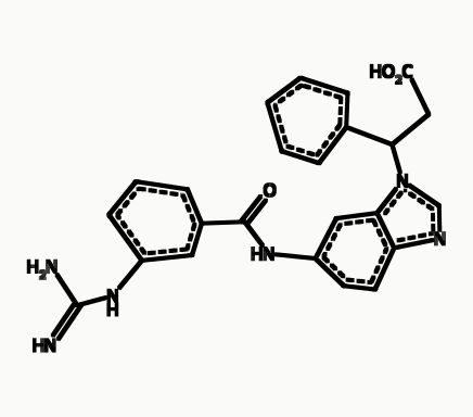 N=C(N)Nc1cccc(C(=O)Nc2ccc3ncn(C(CC(=O)O)c4ccccc4)c3c2)c1